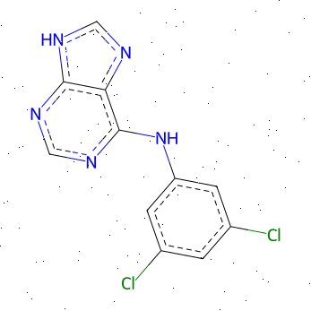 Clc1cc(Cl)cc(Nc2ncnc3[nH]cnc23)c1